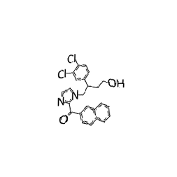 O=C(c1ccc2ccccc2c1)c1nccn1CC(CCO)c1ccc(Cl)c(Cl)c1